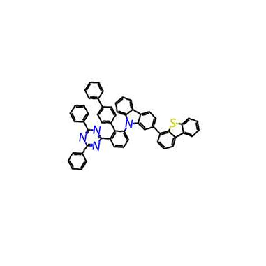 c1ccc(-c2ccc(-c3c(-c4nc(-c5ccccc5)nc(-c5ccccc5)n4)cccc3-n3c4ccccc4c4ccc(-c5cccc6c5sc5ccccc56)cc43)cc2)cc1